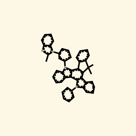 Cc1nc2ccccc2n1-c1cccc(-n2c3ccccc3c3c2c2c(c4c5ccccc5n(-c5ccccc5)c43)C(C)(C)c3ccccc3-2)c1